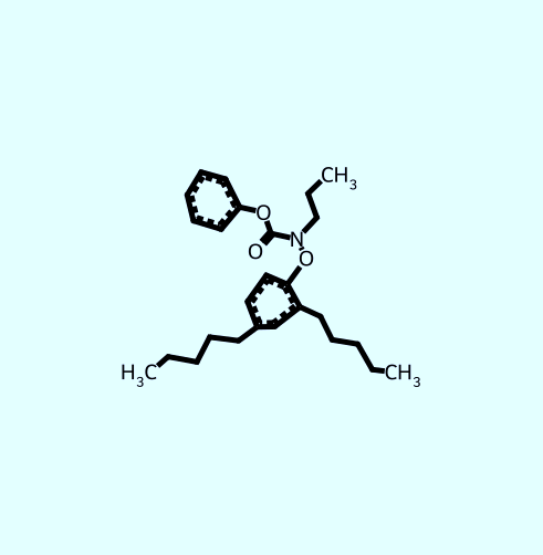 CCCCCc1ccc(ON(CCC)C(=O)Oc2ccccc2)c(CCCCC)c1